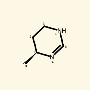 [CH2][C@H]1CCNC=N1